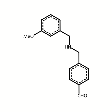 COc1cccc(CNCc2ccc(C=O)cc2)c1